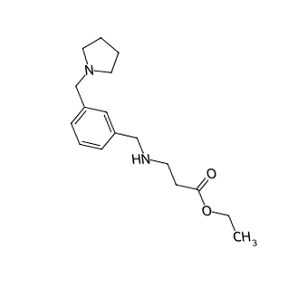 CCOC(=O)CCNCc1cccc(CN2CCCC2)c1